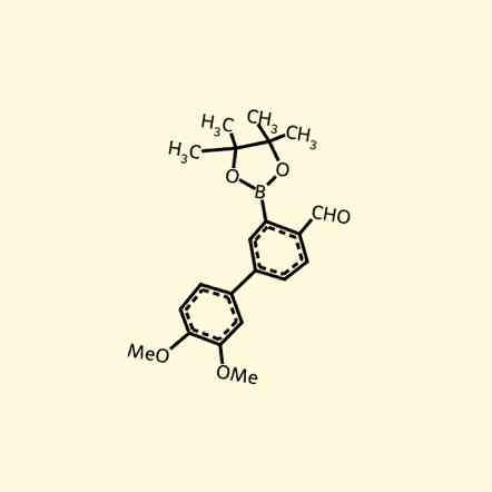 COc1ccc(-c2ccc(C=O)c(B3OC(C)(C)C(C)(C)O3)c2)cc1OC